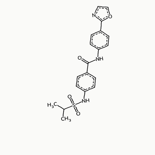 CC(C)S(=O)(=O)Nc1ccc(C(=O)Nc2ccc(-c3ncco3)cc2)cc1